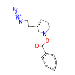 [N-]=[N+]=NCCC1=CCCN(OC(=O)c2ccccc2)C1